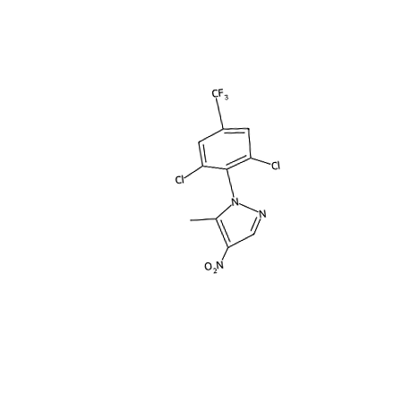 Cc1c([N+](=O)[O-])cnn1-c1c(Cl)cc(C(F)(F)F)cc1Cl